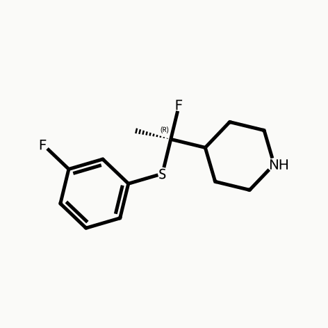 C[C@@](F)(Sc1cccc(F)c1)C1CCNCC1